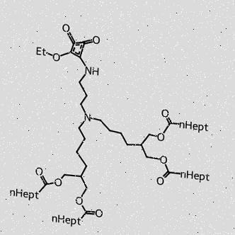 CCCCCCCC(=O)OCC(CCCCN(CCCCC(COC(=O)CCCCCCC)COC(=O)CCCCCCC)CCCNc1c(OCC)c(=O)c1=O)COC(=O)CCCCCCC